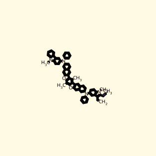 C=Cc1c(/C=C\C)n(C)c2ccc(N(c3ccccc3)c3ccc4cc5c(cc4c3)oc3c(C)c4oc6cc7cc(N(c8ccccc8)c8ccc9c(c8)c8ccccc8n9C)ccc7cc6c4c(C)c35)cc12